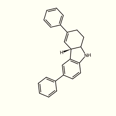 C1=C(c2ccccc2)CCC2Nc3ccc(-c4ccccc4)cc3[C@H]12